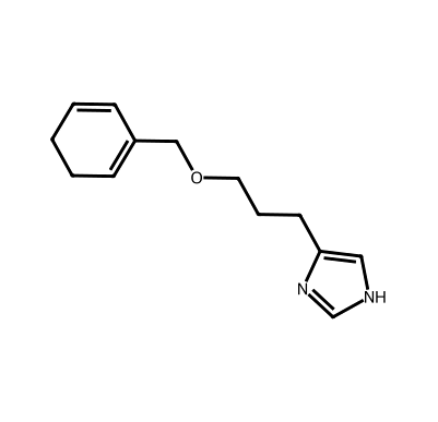 C1=CC(COCCCc2c[nH]cn2)=CCC1